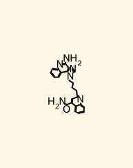 NC(=O)c1cc(CCCCn2cnc3c(N)nc4ccccc4c32)nc2ccccc12